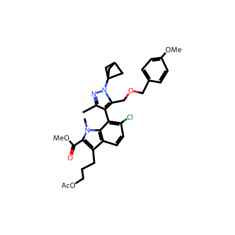 COC(=O)c1c(CCCOC(C)=O)c2ccc(Cl)c(-c3c(C)nn(C45CC(C4)C5)c3COCc3ccc(OC)cc3)c2n1C